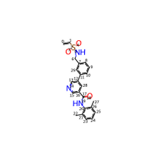 C=CS(=O)(=O)NCc1cccc(-c2cncc(C(=O)Nc3c(C)cccc3C)c2)c1